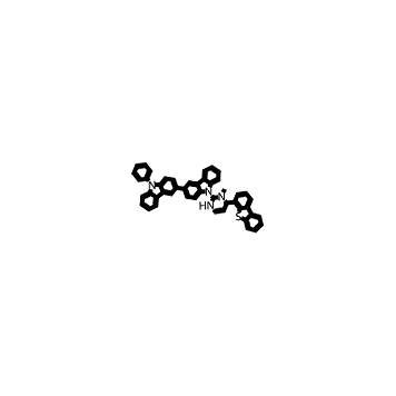 CN1C(c2cccc3c2sc2ccccc23)C=CNC1n1c2ccccc2c2cc(-c3ccc4c(c3)c3ccccc3n4-c3ccccc3)ccc21